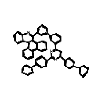 c1ccc(-c2ccc(-c3cc(-c4cccc(-c5cccc(-c6nc7ccccc7c7c8ccccc8c8ccccc8c67)c5)c4)nc(-c4ccc(-c5ccccc5)cc4)n3)cc2)cc1